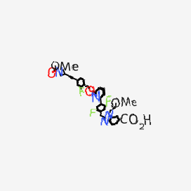 COCCn1c(Cc2cc(F)c(-c3cccc(OCc4ccc(C#CC5CN(C(=O)OC)C5)cc4F)n3)cc2F)nc2ccc(C(=O)O)cc21